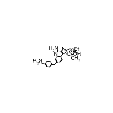 CCOCc1nc2c(N)nc3cc(Cc4ccc(CN)cc4)ccc3c2n1CC(C)(C)O